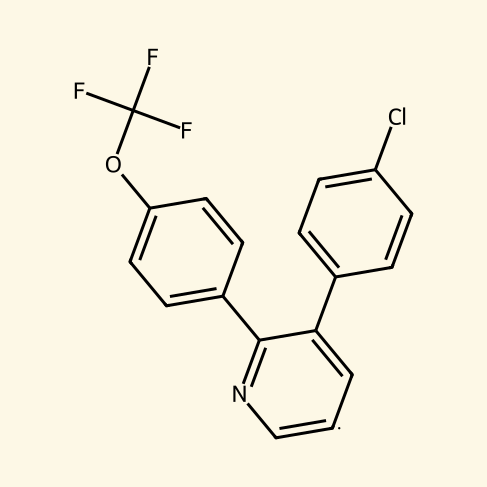 FC(F)(F)Oc1ccc(-c2nc[c]cc2-c2ccc(Cl)cc2)cc1